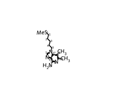 CSCCCCCn1cnc2c(N)nc(C)c(C)c21